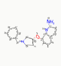 Nc1ccc2cccc(O[C@@H]3CCN(Cc4ccccc4)C3)c2n1